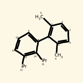 Cc1cccc(C)c1-c1cc[c]c(C(C)C)c1C(C)C